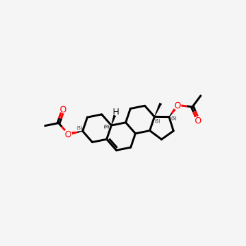 CC(=O)O[C@H]1CC[C@H]2C(=CCC3C2CC[C@@]2(C)C3CC[C@@H]2OC(C)=O)C1